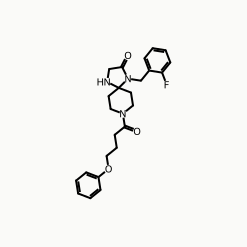 O=C(CCCOc1ccccc1)N1CCC2(CC1)NCC(=O)N2Cc1ccccc1F